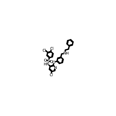 O=S(=O)(Nc1cc(Cl)cnc1Oc1cccc(CNCCc2ccccc2)c1)c1ccc(Cl)c(Cl)c1